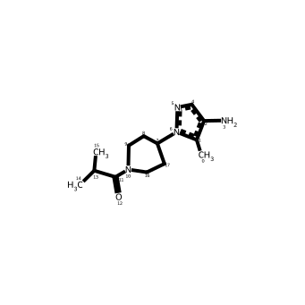 Cc1c(N)cnn1C1CCN(C(=O)C(C)C)CC1